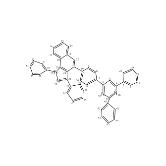 c1ccc(-c2cc(-c3ccc(-c4cc5ccccc5c5c4c(-c4ccccc4)nn5-c4ccccc4)cc3)nc(-c3ccccc3)n2)cc1